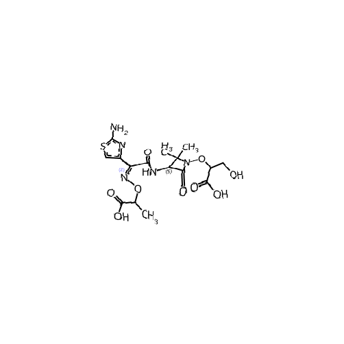 CC(O/N=C(\C(=O)N[C@@H]1C(=O)N(OC(CO)C(=O)O)C1(C)C)c1csc(N)n1)C(=O)O